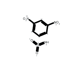 N=S(=O)=O.O=[N+]([O-])c1cccc([N+](=O)[O-])c1